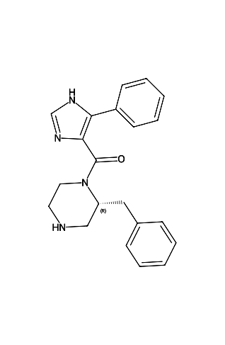 O=C(c1nc[nH]c1-c1ccccc1)N1CCNC[C@H]1Cc1ccccc1